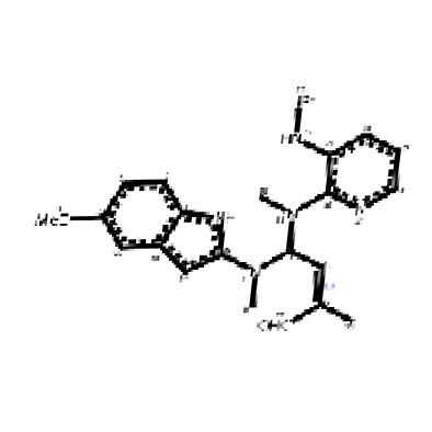 COc1ccc2[nH]c(N(C)C(/C=C(/C)C=O)N(C)c3ncccc3NC(C)C)cc2c1